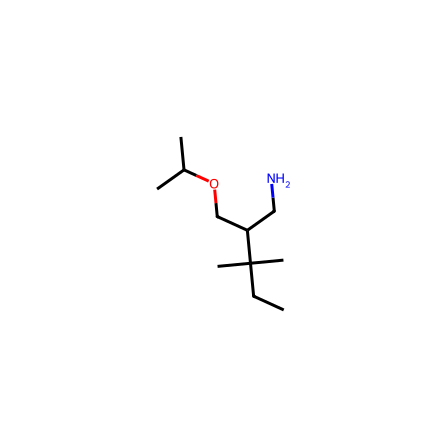 CCC(C)(C)C(CN)COC(C)C